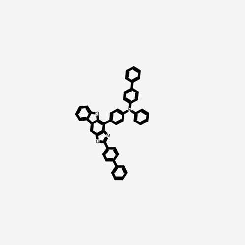 c1ccc(-c2ccc(-c3nc4c(-c5ccc(N(c6ccccc6)c6ccc(-c7ccccc7)cc6)cc5)c5oc6ccccc6c5cc4o3)cc2)cc1